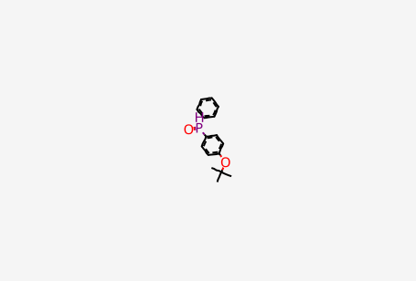 CC(C)(C)Oc1ccc([PH](=O)c2ccccc2)cc1